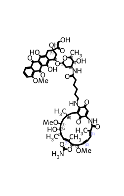 COc1cccc2c1C(=O)c1c(O)c3c(c(O)c1C2=O)C[C@](O)(C(=O)CO)C[C@H]3O[C@@H]1C[C@@H](NC(=O)CCCCCNC2=C3C[C@@H](C)C[C@H](OC)[C@@H](O)[C@@H](C)/C=C(\C)[C@H](OC(N)=O)[C@@H](OC)/C=C\C=C(/C)C(=O)NC(=CC2=O)C3=O)[C@@H](O)[C@@H](C)O1